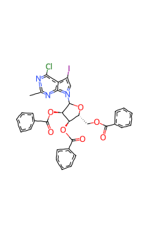 Cc1nc(Cl)c2c(I)cn(C3O[C@H](COC(=O)c4ccccc4)[C@@H](OC(=O)c4ccccc4)[C@H]3OC(=O)c3ccccc3)c2n1